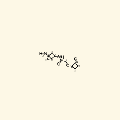 N[C@@]12CC(NC(=O)CO[C@H]3CCC3Cl)C1C2